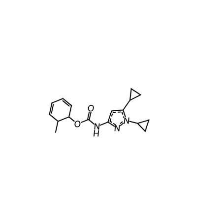 CC1C=CC=CC1OC(=O)Nc1cc(C2CC2)n(C2CC2)n1